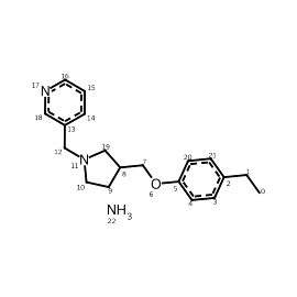 CCc1ccc(OCC2CCN(Cc3cccnc3)C2)cc1.N